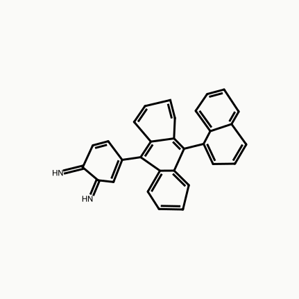 N=C1C=CC(c2c3ccccc3c(-c3cccc4ccccc34)c3ccccc23)=CC1=N